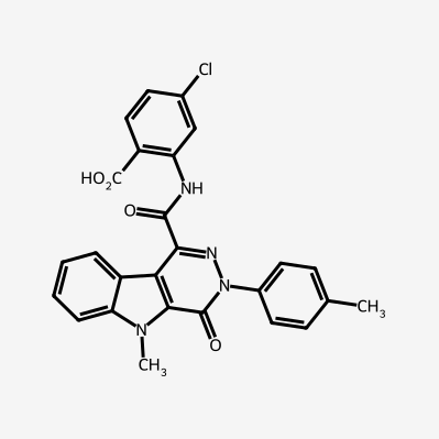 Cc1ccc(-n2nc(C(=O)Nc3cc(Cl)ccc3C(=O)O)c3c4ccccc4n(C)c3c2=O)cc1